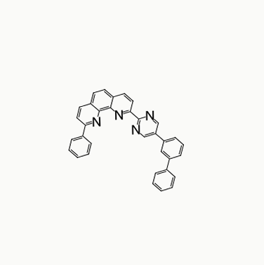 c1ccc(-c2cccc(-c3cnc(-c4ccc5ccc6ccc(-c7ccccc7)nc6c5n4)nc3)c2)cc1